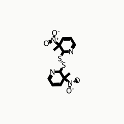 CC1([N+](=O)[O-])C=CC=NC1SSC1N=CC=CC1(C)[N+](=O)[O-]